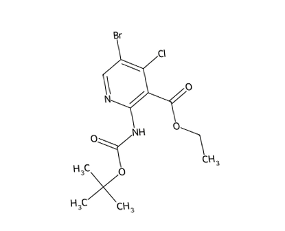 CCOC(=O)c1c(NC(=O)OC(C)(C)C)ncc(Br)c1Cl